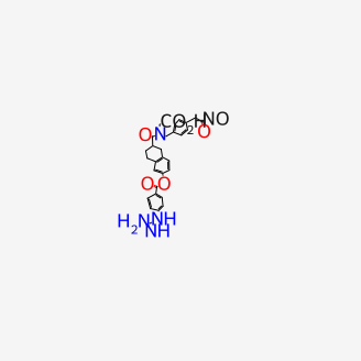 N=C(N)Nc1ccc(C(=O)Oc2ccc3c(c2)CCC(C(=O)N(CC(=O)O)Cc2ccc(CC(=O)N=O)cc2)C3)cc1